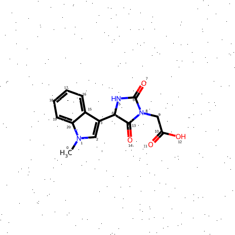 Cn1cc(C2NC(=O)N(CC(=O)O)C2=O)c2ccccc21